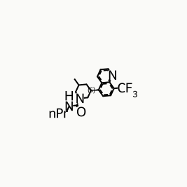 CCCNC(=O)N1CC(C)C[C@@H](c2ccc(C(F)(F)F)c3ncccc23)C1